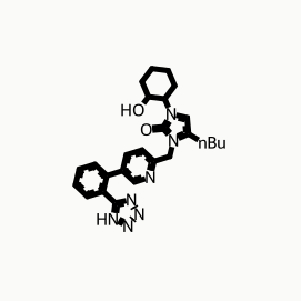 CCCCc1cn(C2CCCCC2O)c(=O)n1Cc1ccc(-c2ccccc2-c2nnn[nH]2)cn1